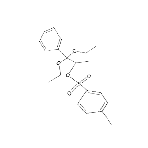 CCOC(OCC)(c1ccccc1)C(C)OS(=O)(=O)c1ccc(C)cc1